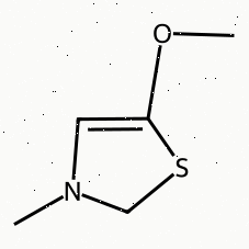 COC1=CN(C)CS1